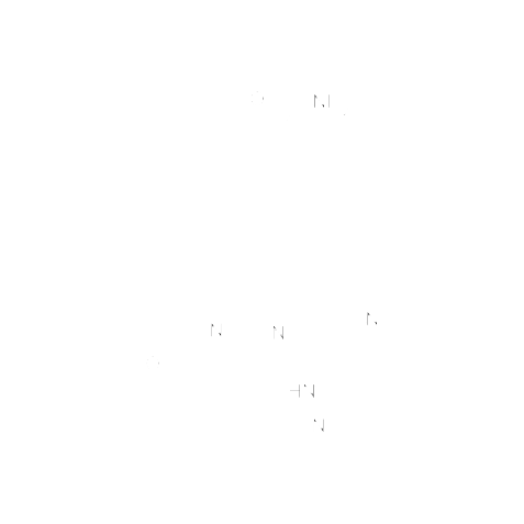 Cc1cnc(-c2ccn[nH]2)c2nc(N3CCOCC3C)cc(-c3ccc(C(N)=O)cc3)c12